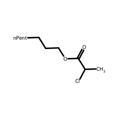 CCCCCCCCOC(=O)C(C)Cl